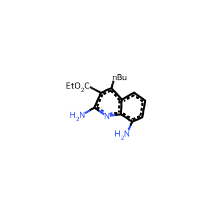 CCCCc1c(C(=O)OCC)c(N)nc2c(N)cccc12